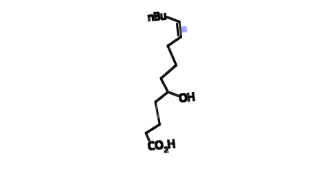 CCCC/C=C\CCCC(O)CCCC(=O)O